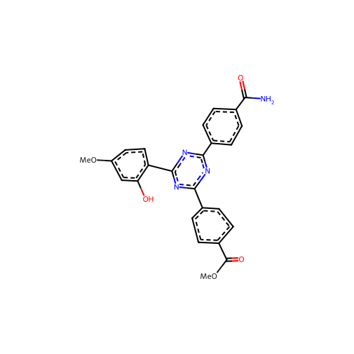 COC(=O)c1ccc(-c2nc(-c3ccc(C(N)=O)cc3)nc(-c3ccc(OC)cc3O)n2)cc1